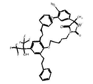 CC1(c2ccc(O)c(O)c2)NC(=O)N(CCCCOc2c(CCc3ccccc3)cc(C(O)(C(F)(F)F)C(F)(F)F)cc2CCc2ccccc2)C1=O